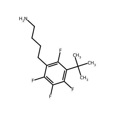 CC(C)(C)c1c(F)c(F)c(F)c(CCCCN)c1F